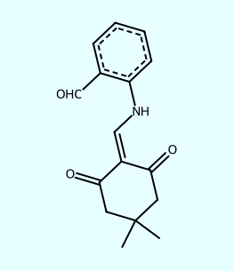 CC1(C)CC(=O)C(=CNc2ccccc2C=O)C(=O)C1